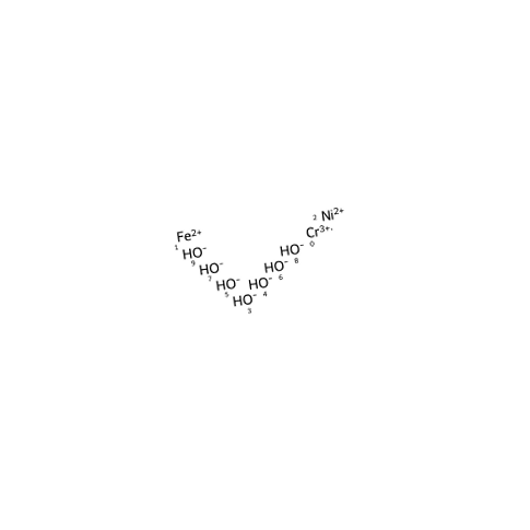 [Cr+3].[Fe+2].[Ni+2].[OH-].[OH-].[OH-].[OH-].[OH-].[OH-].[OH-]